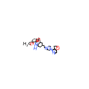 CO[C@H](C)C(=O)NC1CCC(CCN2CCN(c3nccc4c3CCO4)CC2)CC1